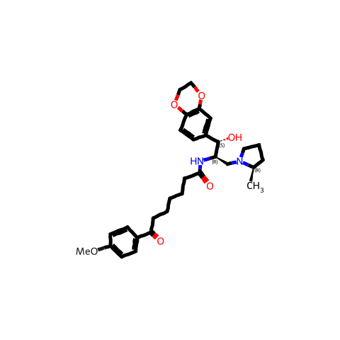 COc1ccc(C(=O)CCCCCC(=O)N[C@H](CN2CCC[C@H]2C)[C@@H](O)c2ccc3c(c2)OCCO3)cc1